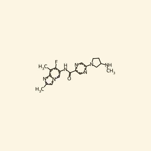 CNC1CCN(c2cnc(C(=O)Nc3cn4cc(C)nc4c(C)c3F)cn2)C1